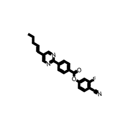 CCCC=Cc1cnc(-c2ccc(C(=O)Oc3ccc(C#N)c(F)c3)cc2)nc1